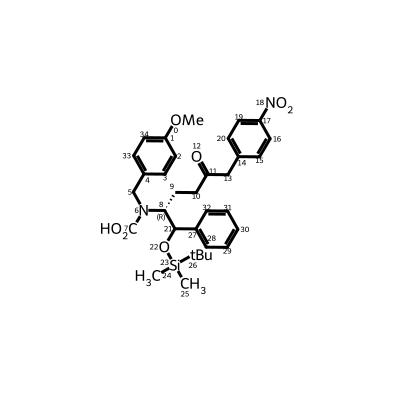 COc1ccc(CN(C(=O)O)[C@H](CCC(=O)Cc2ccc([N+](=O)[O-])cc2)C(O[Si](C)(C)C(C)(C)C)c2ccccc2)cc1